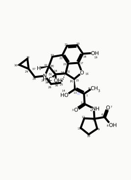 C/C(C(=O)NC1(C(=O)O)CCCC1)=C(/O)[C@@H]1Oc2c(O)ccc3c2[C@@]12CCN(CC1CC1)[C@H](C3)[C@@]2(C)O